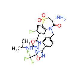 CC(C)Nc1nnc(-c2cc3c(cc2F)S(=O)(=O)C[C@H](N)C(=O)N3Cc2ccc(-c3noc(C(F)(F)F)n3)cc2)o1